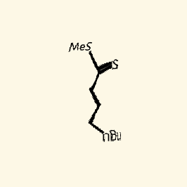 CCCCCCCC(=S)SC